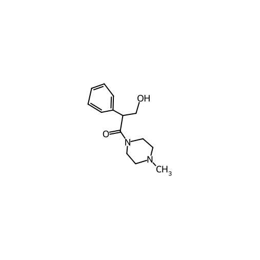 CN1CCN(C(=O)C(CO)c2ccccc2)CC1